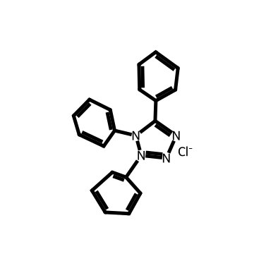 [Cl-].c1ccc(-c2nn[n+](-c3ccccc3)n2-c2ccccc2)cc1